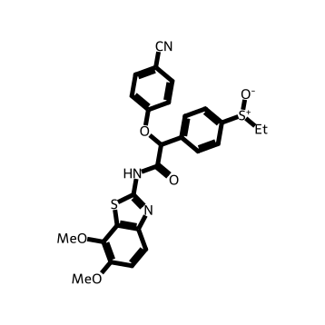 CC[S+]([O-])c1ccc(C(Oc2ccc(C#N)cc2)C(=O)Nc2nc3ccc(OC)c(OC)c3s2)cc1